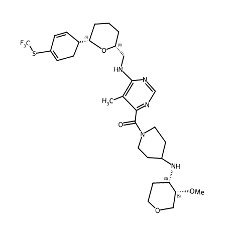 CO[C@@H]1COCC[C@@H]1NC1CCN(C(=O)c2ncnc(NC[C@H]3CCC[C@@H](C4C=CC(SC(F)(F)F)=CC4)O3)c2C)CC1